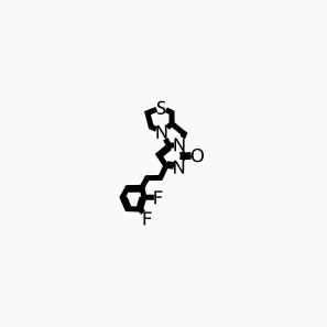 O=c1nc(CCc2cccc(F)c2F)cc2n1CC1CSCCN21